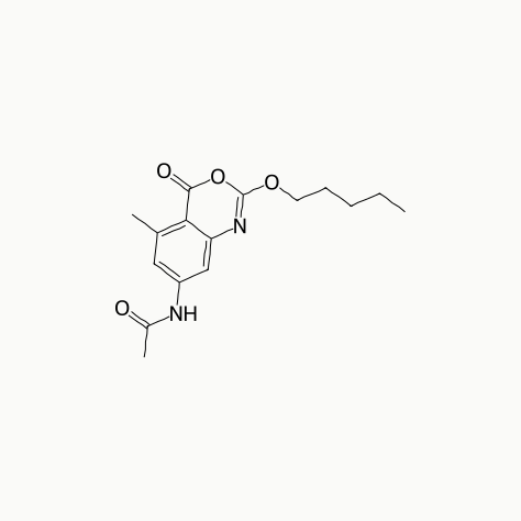 CCCCCOc1nc2cc(NC(C)=O)cc(C)c2c(=O)o1